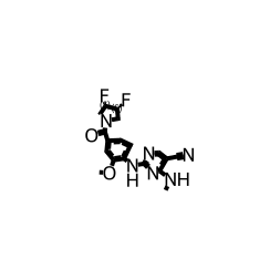 CNc1nc(Nc2ccc(C(=O)N3C[C@H](F)[C@@H](F)C3)cc2OC)ncc1C#N